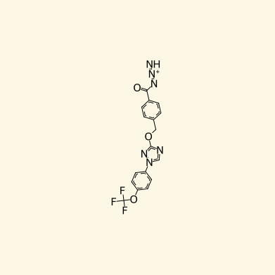 N=[N+]=NC(=O)c1ccc(COc2ncn(-c3ccc(OC(F)(F)F)cc3)n2)cc1